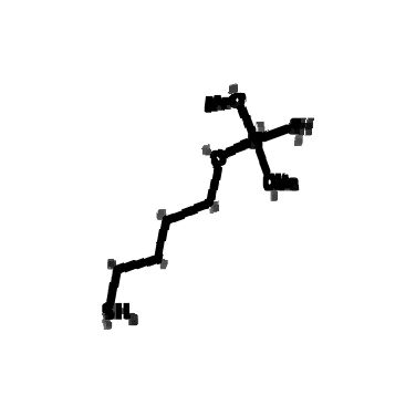 CO[Si](S)(OC)OCCCC[SiH3]